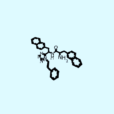 NC(Cc1ccc2ccccc2c1)C(=O)NC(Cc1ccc2ccccc2c1)c1nnnn1C=Cc1ccccc1